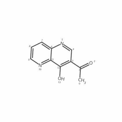 CC(=O)c1cnc2cccnc2c1O